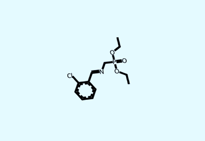 CCOP(=O)(CN=Cc1ccccc1Cl)OCC